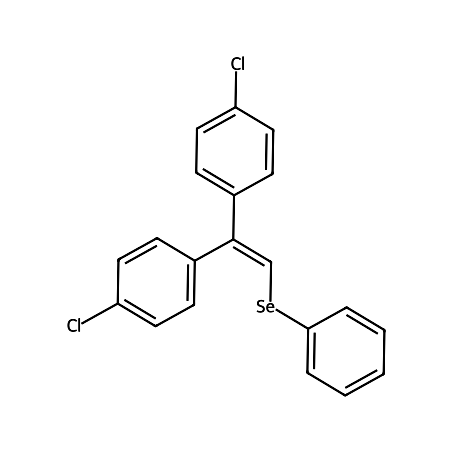 Clc1ccc(C(=C[Se]c2ccccc2)c2ccc(Cl)cc2)cc1